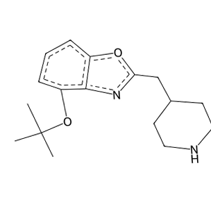 CC(C)(C)Oc1cccc2oc(CC3CCNCC3)nc12